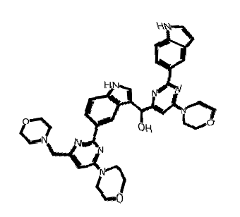 OC(c1cc(N2CCOCC2)nc(-c2ccc3[nH]ccc3c2)n1)c1c[nH]c2ccc(-c3nc(CN4CCOCC4)cc(N4CCOCC4)n3)cc12